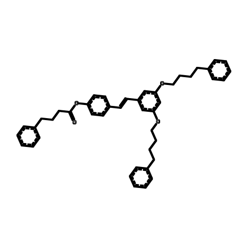 O=C(CCCc1ccccc1)Oc1ccc(/C=C/c2cc(OCCCCc3ccccc3)cc(OCCCCc3ccccc3)c2)cc1